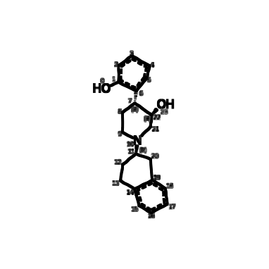 Oc1ccccc1[C@H]1CCN([C@@H]2CCc3ccccc3C2)C[C@@H]1O